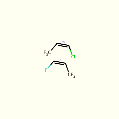 F/C=C\C(F)(F)F.FC(F)(F)/C=C\Cl